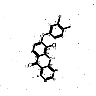 Cc1ccc(Sc2ccc3c(=O)c4ccccc4sc3c2Cl)cc1C